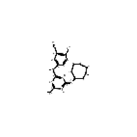 Oc1ccc(Nc2nc(Cl)nc(NC3CCCCCC3)n2)cc1F